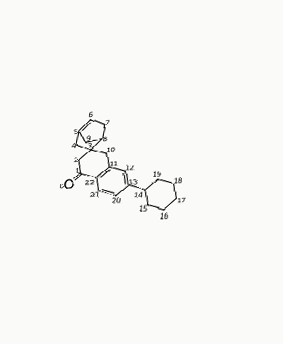 O=C1CC2(CC3=CCC2C3)Cc2cc(C3CCCCC3)ccc21